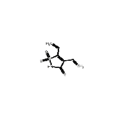 C=CC1=C(C=C)S(=O)(=O)NC1=O